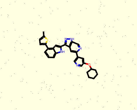 Cc1ccc(-c2cccc3[nH]c(-c4n[nH]c5cnc(-c6cncc(OC7CCCCC7)c6)cc45)cc23)s1